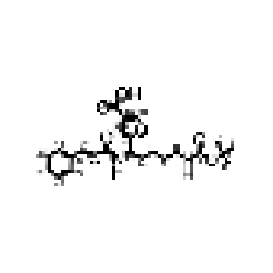 CC(C)(C)OC(=O)NCCCCC(NC(=O)OCc1ccccc1)c1nc(C(=O)O)co1